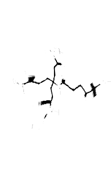 BNC(=O)CCC(CCC(=O)NB)(CCC(=O)NB)NC(=O)CCC(=O)C(C)(C)S